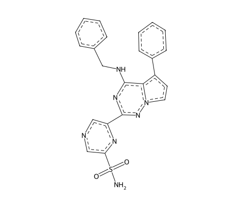 NS(=O)(=O)c1cncc(-c2nc(NCc3ccccc3)c3c(-c4ccccc4)ccn3n2)n1